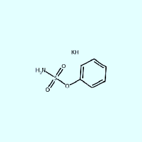 NS(=O)(=O)Oc1ccccc1.[KH]